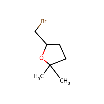 CC1(C)CCC(CBr)O1